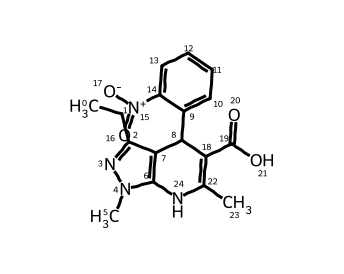 CCc1nn(C)c2c1C(c1ccccc1[N+](=O)[O-])C(C(=O)O)=C(C)N2